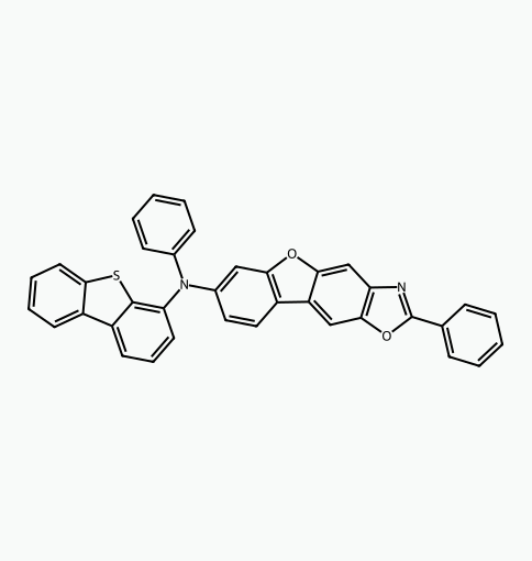 c1ccc(-c2nc3cc4oc5cc(N(c6ccccc6)c6cccc7c6sc6ccccc67)ccc5c4cc3o2)cc1